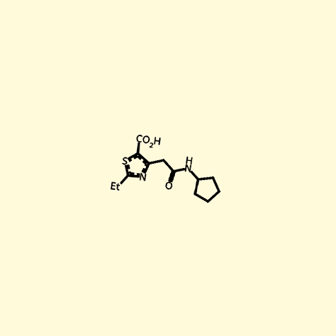 CCc1nc(CC(=O)NC2CCCC2)c(C(=O)O)s1